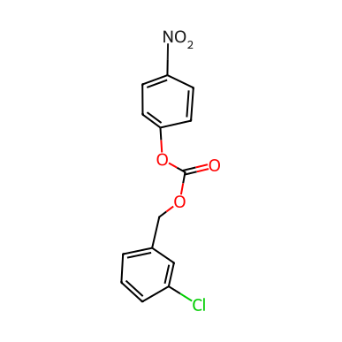 O=C(OCc1cccc(Cl)c1)Oc1ccc([N+](=O)[O-])cc1